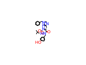 CC(C)(C)OC(=O)N[C@H](Cc1cn(Cc2ccccc2)cn1)C(=O)NCc1ccc(O)cc1